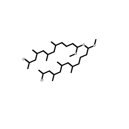 COC(CCCC(C)CC(C)CC(C)CC(C)Cl)OC(CCCC(C)CC(C)CC(C)CC(C)Cl)OC